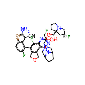 N#Cc1c(N)sc2ccc(F)c(-c3c4c(c5c(N6C7CCC6CN(CC(O)CF)C7)nc(OC[C@@]67CCCN6C[C@H](F)C7)nc5c3F)COC4)c12